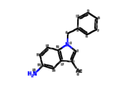 CC(=O)c1cn(Cc2ccccc2)c2ccc(N)cc12